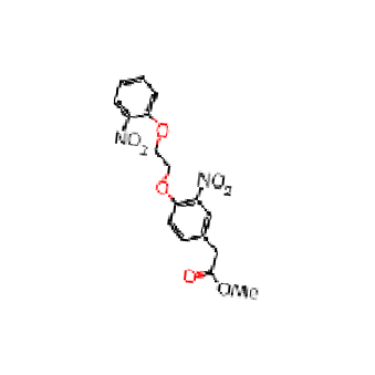 COC(=O)Cc1ccc(OCCOc2ccccc2[N+](=O)[O-])c([N+](=O)[O-])c1